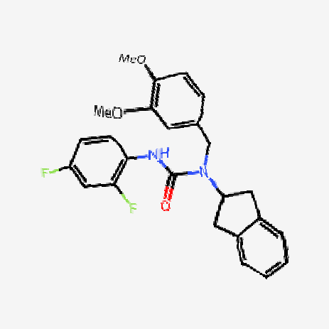 COc1ccc(CN(C(=O)Nc2ccc(F)cc2F)C2Cc3ccccc3C2)cc1OC